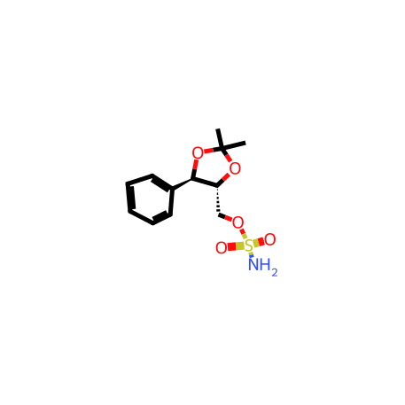 CC1(C)O[C@H](c2ccccc2)[C@@H](COS(N)(=O)=O)O1